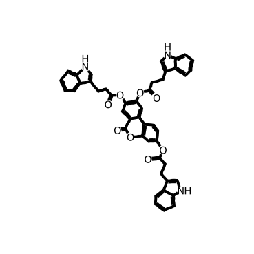 O=C(CCc1c[nH]c2ccccc12)Oc1ccc2c(c1)oc(=O)c1cc(OC(=O)CCc3c[nH]c4ccccc34)c(OC(=O)CCc3c[nH]c4ccccc34)cc12